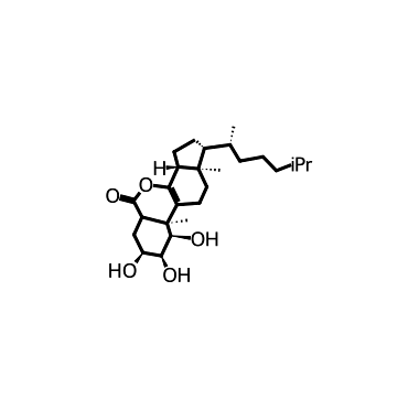 CC(C)CCC[C@@H](C)[C@H]1CC[C@H]2C3=C(CC[C@]12C)[C@]1(C)C(C[C@H](O)[C@H](O)[C@@H]1O)C(=O)O3